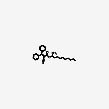 CCCCCCCCCC(N)OC(=O)C(C#N)=C(c1ccccc1)c1ccccc1